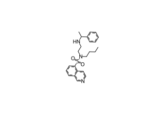 CCCCN(CCNC(C)c1ccccc1)S(=O)(=O)c1cccc2cnccc12